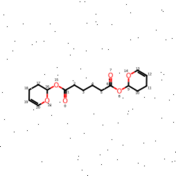 O=C(CCCCC(=O)OC1CCC=CO1)OC1CCC=CO1